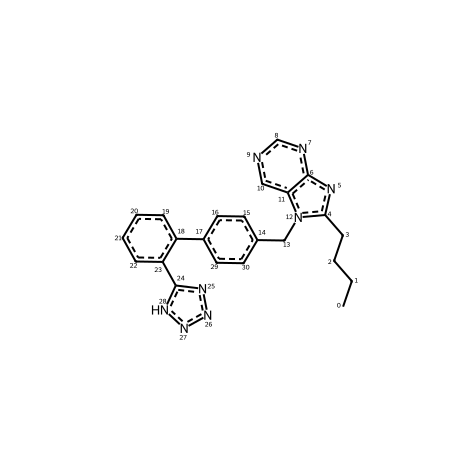 CCCCc1nc2ncncc2n1Cc1ccc(-c2ccccc2-c2nnn[nH]2)cc1